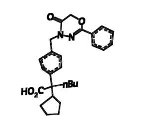 CCCCC(C(=O)O)(c1ccc(CN2N=C(c3ccccc3)OCC2=O)cc1)C1CCCC1